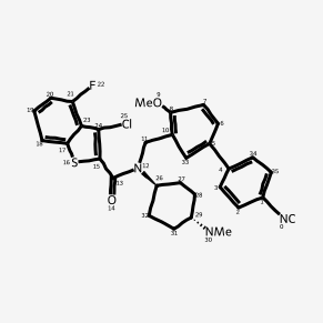 [C-]#[N+]c1ccc(-c2ccc(OC)c(CN(C(=O)c3sc4cccc(F)c4c3Cl)[C@H]3CC[C@H](NC)CC3)c2)cc1